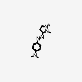 CN(C)c1ccc(N=NC2CC=[N+](C)N2C)cc1